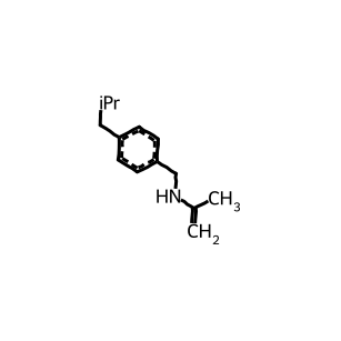 C=C(C)NCc1ccc(CC(C)C)cc1